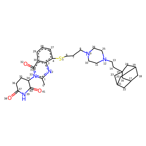 Cc1nc2c(SCCCN3CCN(CCC45CC6CC(CC(C6)C4)C5)CC3)cccc2c(=O)n1C1CCC(=O)NC1=O